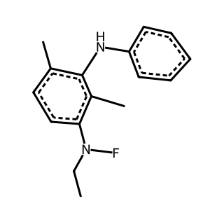 CCN(F)c1ccc(C)c(Nc2ccccc2)c1C